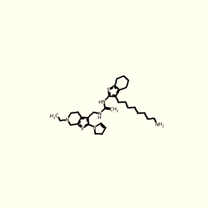 C=C(NCc1c(N2C=CCC2)sc2c1CCN(CC)C2)Nc1sc2c(c1CCCCCCCCN)CCCC2